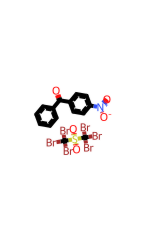 O=C(c1ccccc1)c1ccc([N+](=O)[O-])cc1.O=S(=O)(C(Br)(Br)Br)C(Br)(Br)Br